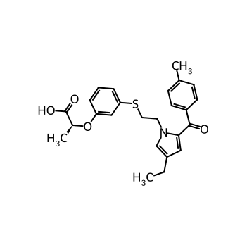 CCc1cc(C(=O)c2ccc(C)cc2)n(CCSc2cccc(O[C@@H](C)C(=O)O)c2)c1